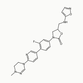 CN1CCN(c2ccc(-c3ccc(N4CC(CNc5ccno5)OC4=O)cc3F)cn2)C=N1